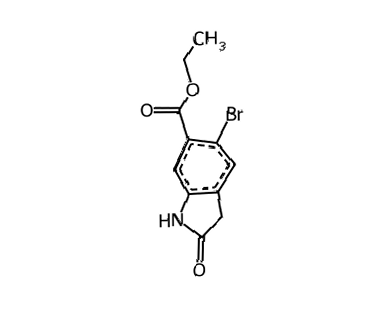 CCOC(=O)c1cc2c(cc1Br)CC(=O)N2